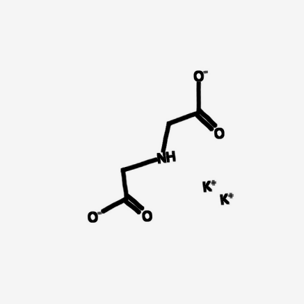 O=C([O-])CNCC(=O)[O-].[K+].[K+]